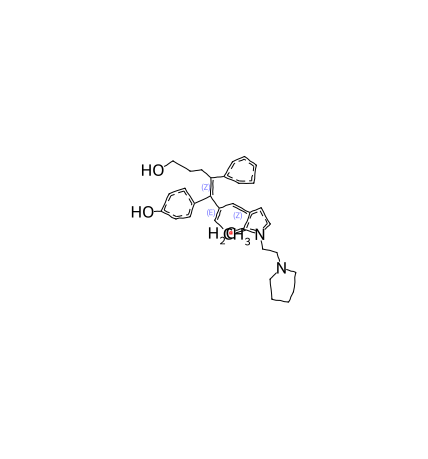 C=c1\c(=C/C(=C\C)C(=C(/CCCO)c2ccccc2)/c2ccc(O)cc2)ccn1CCN1CCCCC1